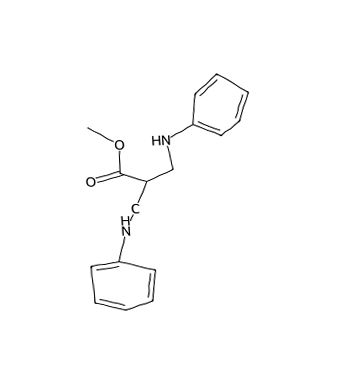 COC(=O)C(CNc1ccccc1)CNc1ccccc1